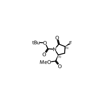 COC(=O)[C@@H]1C[C@H](F)C(=O)N1C(=O)OC(C)(C)C